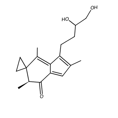 CC1=C(CCC(O)CO)C2=C(C)C3(CC3)[C@H](C)C(=O)C2=C1